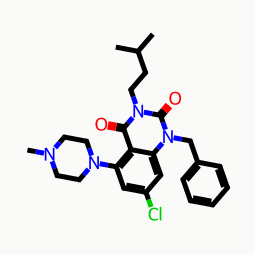 CC(C)CCn1c(=O)c2c(N3CCN(C)CC3)cc(Cl)cc2n(Cc2ccccc2)c1=O